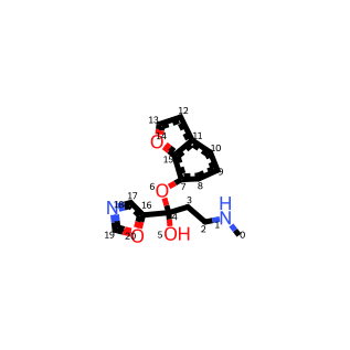 CNCCC(O)(Oc1cccc2ccoc12)c1cnco1